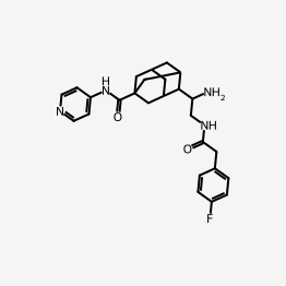 NC(CNC(=O)Cc1ccc(F)cc1)C1C2CC3CC1CC(C(=O)Nc1ccncc1)(C3)C2